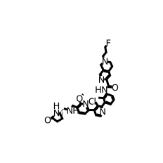 COc1nc(-c2ccnc(-c3cccc(NC(=O)c4cc5c(cn4)CN(CCCF)CC5)c3C)c2Cl)ccc1CNC[C@@H]1CCC(=O)N1